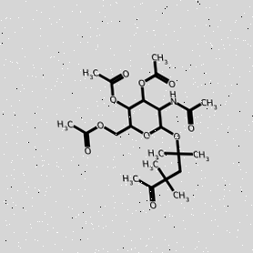 CC(=O)NC1C(OC(C)(C)CC(C)(C)C(C)=O)OC(COC(C)=O)C(OC(C)=O)C1OC(C)=O